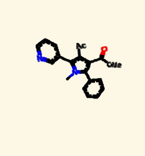 COC(=O)c1c(C(C)=O)c(-c2cccnc2)n(C)c1-c1ccccc1